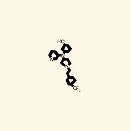 Oc1cccc(N(c2cccnc2)C2CCN(CCc3ccc(C(F)(F)F)cc3)CC2)c1